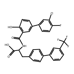 O=C(NC(Cc1ccc(-c2cccc(C(F)(F)F)c2)cc1)C(=O)O)c1cc(-c2ccc(F)c(Cl)c2)ccc1O